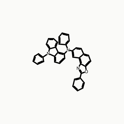 c1ccc(-c2nc3c(ccc4ccc(N(c5ccccc5)c5cccc6c5c5ccccc5n6-c5ccccc5)cc43)o2)cc1